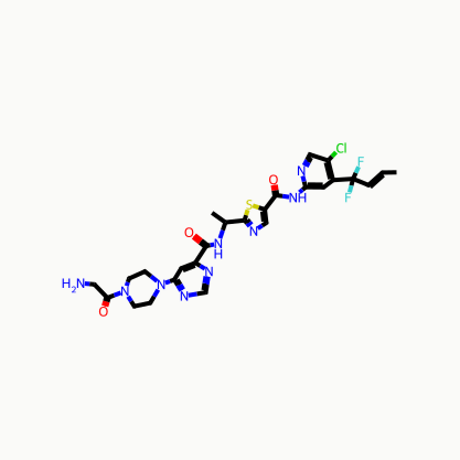 C/C=C/C(F)(F)c1cc(NC(=O)c2cnc(C(C)NC(=O)c3cc(N4CCN(C(=O)CN)CC4)ncn3)s2)ncc1Cl